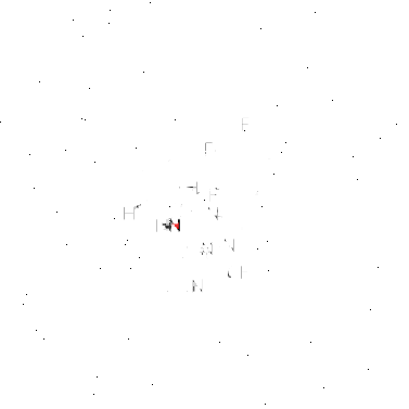 Fc1ccc(C2CCCCn3nc(NC4[C@@H]5CC[C@H]4CN(c4ccnc(C(F)(F)F)c4)C5)nc32)c(F)c1F